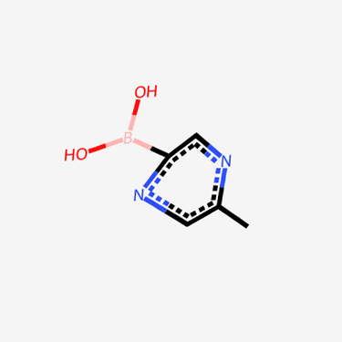 Cc1cnc(B(O)O)cn1